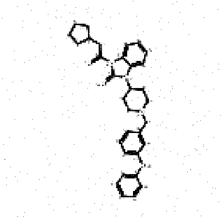 O=C(CC1CCCC1)n1c(=O)n(C2CCN(Cc3cccc(Oc4ccccc4)c3)CC2)c2ccccc21